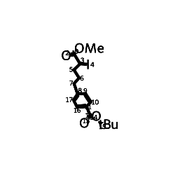 COC(=O)C(I)CCCc1ccc(C(=O)OC(C)(C)C)cc1